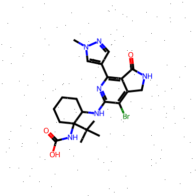 Cn1cc(-c2nc(NC3CCCCC3(NC(=O)O)C(C)(C)C)c(Br)c3c2C(=O)NC3)cn1